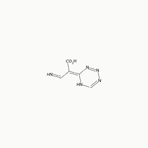 N=C/C(C(=O)O)=C1/N=NN=CN1